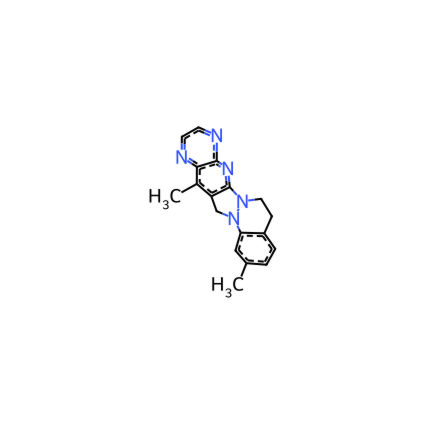 Cc1ccc2c(c1)N1Cc3c(nc4nccnc4c3C)N1CC2